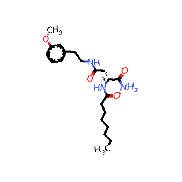 CCCCCCCC(=O)N[C@H](CC(=O)NCCc1cccc(OC)c1)C(N)=O